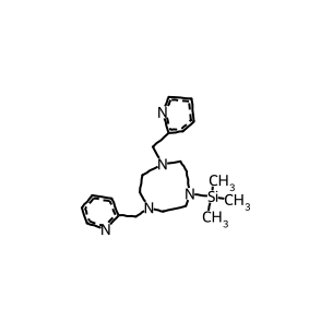 C[Si](C)(C)N1CCN(Cc2ccccn2)CCN(Cc2ccccn2)CC1